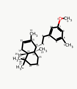 COc1cc(C)cc(CC[C@H]2C(C)=CC[C@H]3C(C)(C)CCC[C@]23C)c1